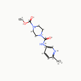 CC(C)(C)OC(=O)N1CCN(C(=O)Nc2ccc([N+](=O)[O-])nc2)CC1